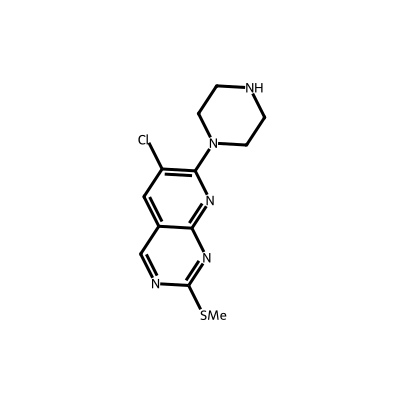 CSc1ncc2cc(Cl)c(N3CCNCC3)nc2n1